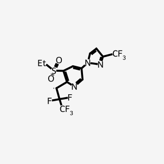 CCS(=O)(=O)c1cc(-n2ccc(C(F)(F)F)n2)cnc1[CH]C(F)(F)C(F)(F)F